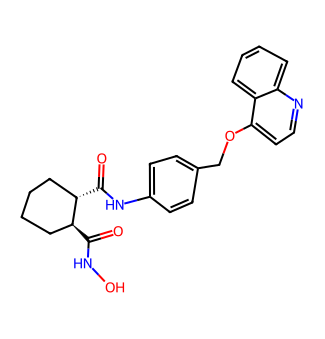 O=C(NO)[C@H]1CCCC[C@@H]1C(=O)Nc1ccc(COc2ccnc3ccccc23)cc1